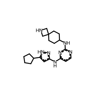 c1cc(Nc2cc(C3CCCC3)[nH]n2)nc(NC2CCC3(CC2)CNC3)n1